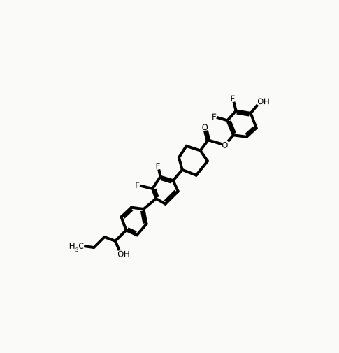 CCCC(O)c1ccc(-c2ccc(C3CCC(C(=O)Oc4ccc(O)c(F)c4F)CC3)c(F)c2F)cc1